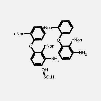 CCCCCCCCCc1ccccc1Oc1cccc(N)c1CCCCCCCCC.CCCCCCCCCc1ccccc1Oc1cccc(N)c1CCCCCCCCC.O=S(=O)(O)O